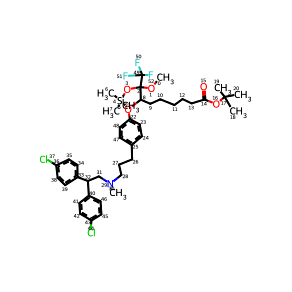 COC(O[Si](C)(C)C)(C(CCCCCC(=O)OC(C)(C)C)Oc1ccc(CCCN(C)CC(c2ccc(Cl)cc2)c2ccc(Cl)cc2)cc1)C(F)(F)F